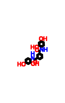 O=C(Nc1ccc(O)cc1O)c1cccc(C(=O)Nc2ccc(O)cc2O)c1